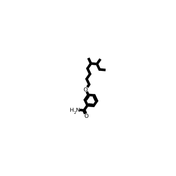 CCC(C)C(C)CCCCOc1cccc(C(N)=O)c1